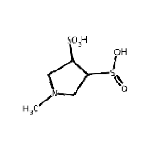 CN1CC(S(=O)O)C(S(=O)(=O)O)C1